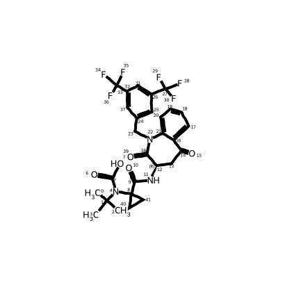 CC(C)(C)N(C(=O)O)C1(C(=O)N[C@@H]2CC(=O)c3ccccc3N(Cc3cc(C(F)(F)F)cc(C(F)(F)F)c3)C2=O)CC1